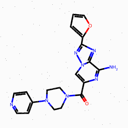 Nc1nc(C(=O)N2CCN(c3ccncc3)CC2)cn2nc(-c3ccco3)nc12